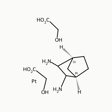 NC1C(N)[C@H]2CC[C@@H]1C2.O=C(O)CO.O=C(O)CO.[Pt]